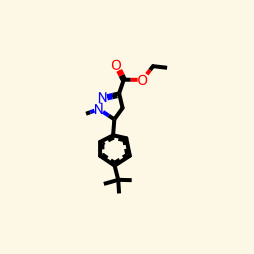 CCOC(=O)C1=NN(C)C(c2ccc(C(C)(C)C)cc2)C1